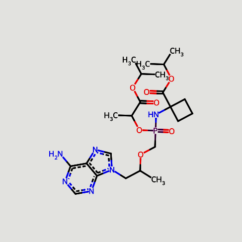 CC(C)OC(=O)C(C)OP(=O)(COC(C)Cn1cnc2c(N)ncnc21)NC1(C(=O)OC(C)C)CCC1